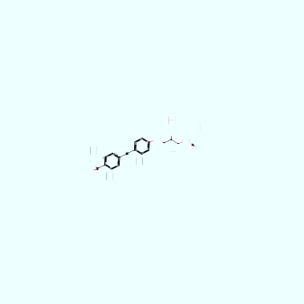 CC(C)(C)OCC(O)COc1ccc(C(C)(C)c2ccc(C(C)(C)O)cc2)cc1